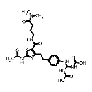 CC(=O)Nc1nc(CCc2ccc(NC(NC(=O)O)NC(=O)O)cc2)c(C(=O)NCCCC(=O)N(C)C)s1